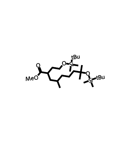 COC(=O)C(CCO[Si](C)(C)C(C)(C)C)CC(C)CCCC(C)(C)O[Si](C)(C)C(C)(C)C